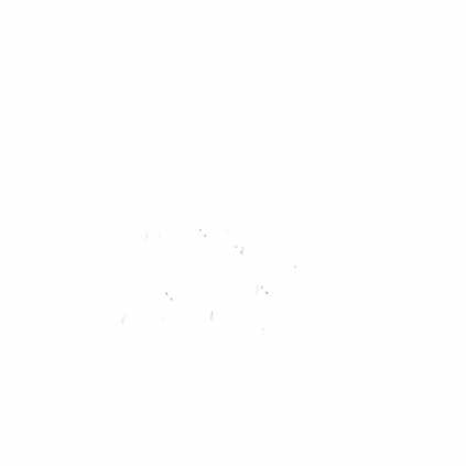 C/C(=N\OC(C)C)c1cn(CC(O)c2ccccc2C)c(=O)n(C[C@H](C)NC(=O)C(C)C)c1=O